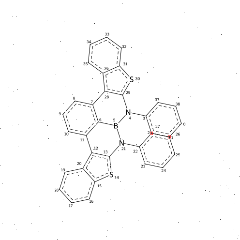 c1ccc(N2B3c4c(cccc4-c4c(sc5ccccc45)N3c3ccccc3)-c3c2sc2ccccc32)cc1